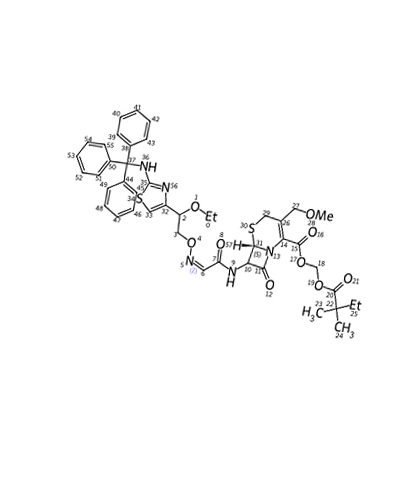 CCOC(CO/N=C\C(=O)NC1C(=O)N2C(C(=O)OCOC(=O)C(C)(C)CC)=C(COC)CS[C@@H]12)c1csc(NC(c2ccccc2)(c2ccccc2)c2ccccc2)n1